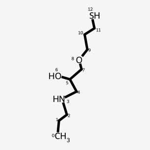 CCCNCC(O)COCCCS